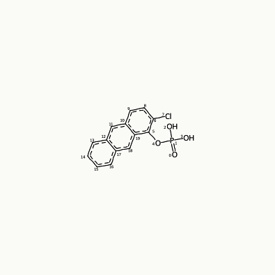 O=P(O)(O)Oc1c(Cl)ccc2cc3ccccc3cc12